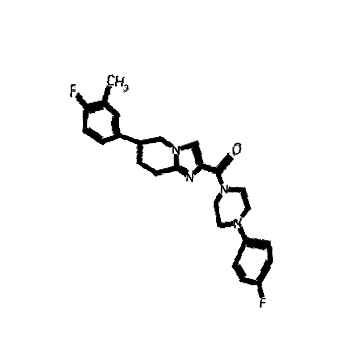 Cc1cc(C2CCc3nc(C(=O)N4CCN(c5ccc(F)cc5)CC4)cn3C2)ccc1F